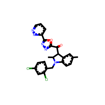 Cc1ccc2c(c1)C(C(=O)c1nnc(-c3cccnn3)o1)C(C)N2Cc1ccc(Cl)cc1Cl